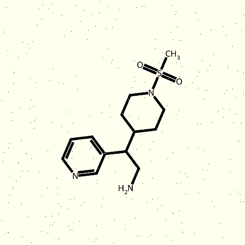 CS(=O)(=O)N1CCC(C(CN)c2cccnc2)CC1